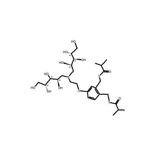 CC(C)C(=O)SCc1ccc(OCCN(C[C@@H](O)[C@H](O)[C@H](O)CO)C[C@@H](O)[C@H](O)[C@H](O)CO)cc1CSC(=O)C(C)C